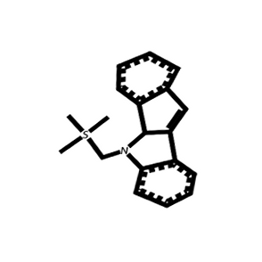 CS(C)(C)CN1c2ccccc2C2=Cc3ccccc3C21